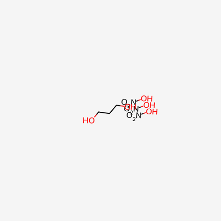 O=[N+]([O-])O.O=[N+]([O-])O.O=[N+]([O-])O.OCCCO